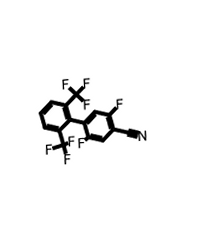 N#Cc1cc(F)c(-c2c(C(F)(F)F)cccc2C(F)(F)F)cc1F